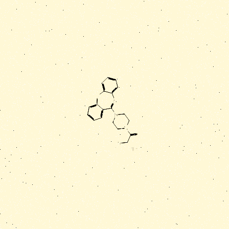 CC(C)[C@H](N)C(=O)N1CCN(C2=Nc3ccccc3Sc3ccccc32)CC1